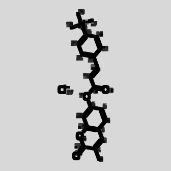 Cc1cc2ccc(OC(=O)C=Cc3ccc([N+](C)(C)C)cc3)cc2oc1=O.[Cl-]